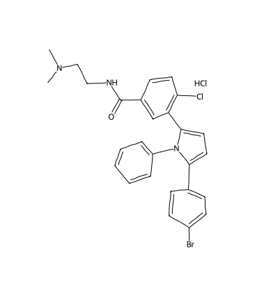 CN(C)CCNC(=O)c1ccc(Cl)c(-c2ccc(-c3ccc(Br)cc3)n2-c2ccccc2)c1.Cl